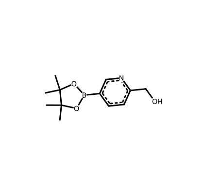 CC1(C)OB(c2ccc(CO)nc2)OC1(C)C